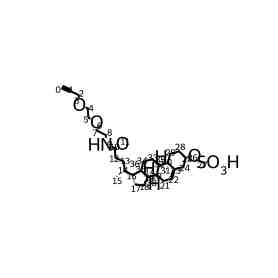 C#CCOCCOCCNC(=O)CC[C@@H](C)[C@H]1CC[C@H]2[C@@H]3CC=C4C[C@@H](OS(=O)(=O)O)CC[C@]4(C)[C@H]3CC[C@]12C